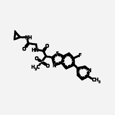 Cc1ccc(-c2cc3nc(C(C(=O)NCC(=O)NC4CC4)S(C)(=O)=O)sc3cc2F)cn1